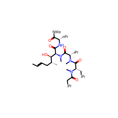 C/C=C/C[C@@H](C)[C@@H](O)[C@@H](C(=O)N[C@@H](CCC)C(=O)NC)N(C)C(=O)[C@H](C(C)C)N(C)C(=O)[C@H](CC(C)C)N(C)C(=O)CC(C)C